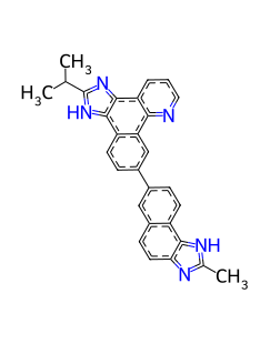 Cc1nc2ccc3cc(-c4ccc5c(c4)c4ncccc4c4nc(C(C)C)[nH]c54)ccc3c2[nH]1